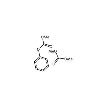 COC(=O)OC.COC(=O)Oc1ccccc1